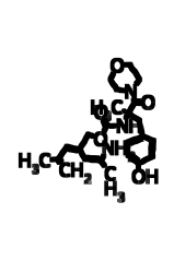 C=C(C)/C=C(\C=C(\C)N)COC(=O)N[C@@](C)(Cc1ccc(O)cc1)C(=O)N1CCOCC1